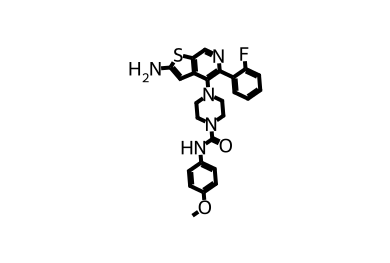 COc1ccc(NC(=O)N2CCN(c3c(-c4ccccc4F)ncc4sc(N)cc34)CC2)cc1